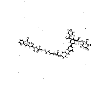 CCN(c1cc(-c2ccc(CN3CCN(CC(=O)NCCCCCCNC(=O)CNC(=O)CC(Cc4ccccc4)NC=O)CC3)cc2)cc(C(=O)NCc2c(C)cc(C)[nH]c2=O)c1C)C1CCOCC1